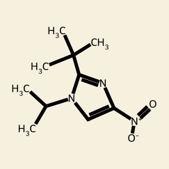 CC(C)n1cc([N+](=O)[O-])nc1C(C)(C)C